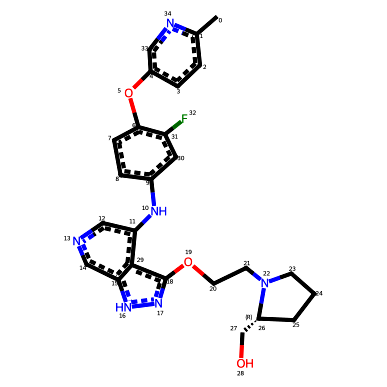 Cc1ccc(Oc2ccc(Nc3cncc4[nH]nc(OCCN5CCC[C@@H]5CO)c34)cc2F)cn1